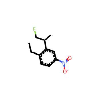 [CH2]C(CF)c1cc([N+](=O)[O-])ccc1CC